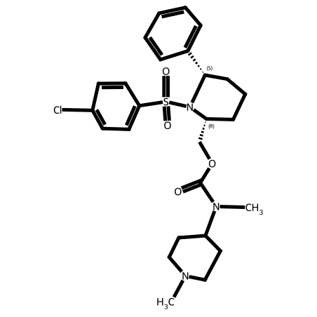 CN1CCC(N(C)C(=O)OC[C@H]2CCC[C@@H](c3ccccc3)N2S(=O)(=O)c2ccc(Cl)cc2)CC1